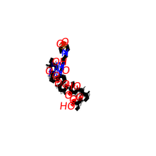 CCC(C(=O)[C@@H](C)[C@@H](O)[C@H](C)[C@@H]1O[C@@H]([C@@H](CC)C(=O)O)CC[C@@H]1C)[C@H]1O[C@]2(C=C[C@@H](NC(=O)NCCCN3CCS(=O)(=O)CC3)[C@]3(CC[C@@](C)([C@H]4CC[C@](O)(CC)[C@H](C)O4)O3)O2)[C@H](C)C[C@@H]1C